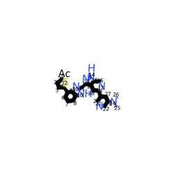 CC(=O)c1ccc(-c2cccc3[nH]c(-c4n[nH]c5cnc(-c6cncc(N(C)C)c6)cc45)nc23)s1